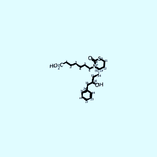 O=C(O)CCCCCCN1C(=O)SCC[C@@H]1CCC(O)Cc1ccccc1